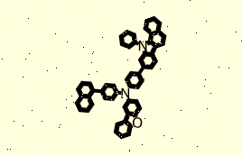 c1ccc(-n2c3cc(-c4ccc(N(c5ccc(-c6cccc7ccccc67)cc5)c5ccc6oc7ccccc7c6c5)cc4)ccc3c3ccc4ccccc4c32)cc1